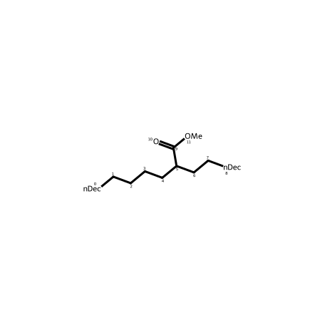 CCCCCCCCCCCCCCC(CCCCCCCCCCCC)C(=O)OC